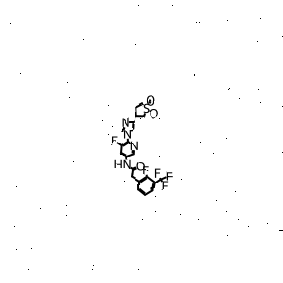 O=C(Cc1cccc(C(F)(F)F)c1F)Nc1cnc(-n2cnc([C@@H]3CCS(=O)(=O)C3)c2)c(F)c1